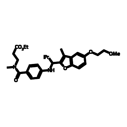 CCOC(=O)CCN(C)C(=O)c1ccc(NC(c2oc3ccc(OCCOC)cc3c2C)C(C)C)cc1